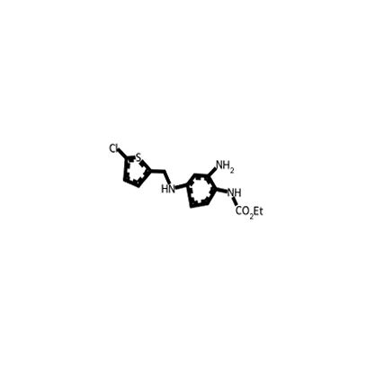 CCOC(=O)Nc1ccc(NCc2ccc(Cl)s2)cc1N